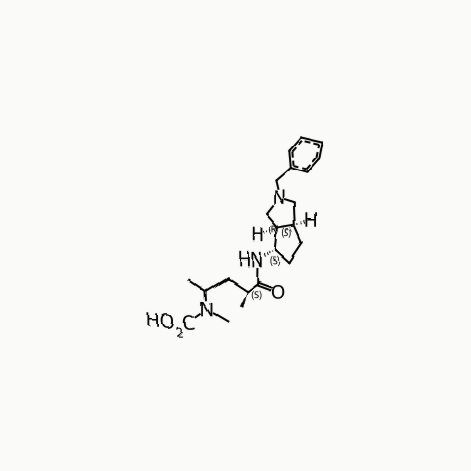 CC(C[C@H](C)C(=O)N[C@H]1CC[C@@H]2CN(Cc3ccccc3)C[C@@H]21)N(C)C(=O)O